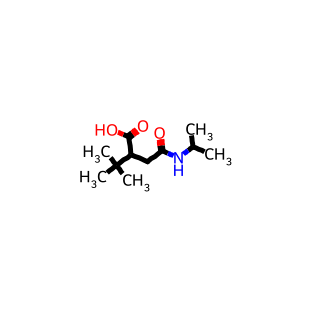 CC(C)NC(=O)CC(C(=O)O)C(C)(C)C